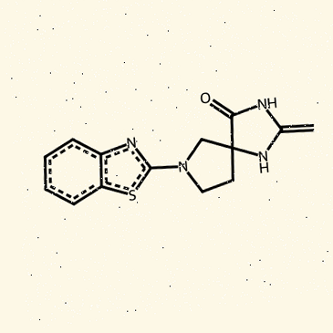 C=C1NC(=O)C2(CCN(c3nc4ccccc4s3)C2)N1